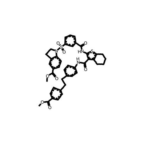 COC(=O)c1ccc(CCc2ccc(NC(=O)c3c(NC(=O)c4cccc(S(=O)(=O)N5CCc6cc(C(=O)OC)ccc65)c4)sc4c3CCCC4)cc2)cc1